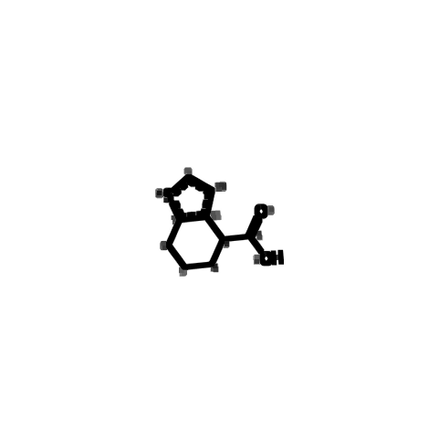 O=C(O)C1CCCc2sccc21